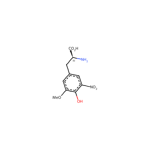 COc1cc(C[C@H](N)C(=O)O)cc([N+](=O)[O-])c1O